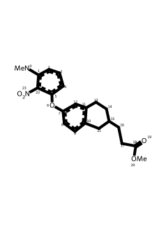 CNc1cccc(Oc2ccc3c(c2)CCC(CCC(=O)OC)C3)c1[N+](=O)[O-]